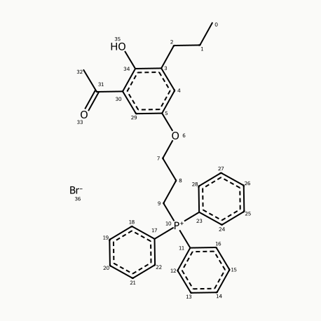 CCCc1cc(OCCC[P+](c2ccccc2)(c2ccccc2)c2ccccc2)cc(C(C)=O)c1O.[Br-]